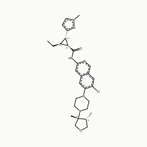 CC[C@@H]1[C@H](C(=O)Nc2cc3cc(N4CCN([C@@]5(C)COC[C@H]5F)CC4)c(Cl)cc3cn2)[C@H]1c1ccn(C)n1